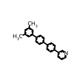 Cc1cc(C)cc(-c2ccc(-c3ccc(-c4cccnc4)cc3)cc2)c1